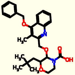 Cc1c(COC2C(CC(C)(C)C)OCCN2C(=O)O)nc2ccccc2c1OCc1ccccc1